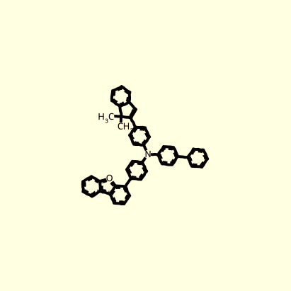 CC1(C)C(c2ccc(N(c3ccc(-c4ccccc4)cc3)c3ccc(-c4cccc5c4oc4ccccc45)cc3)cc2)=Cc2ccccc21